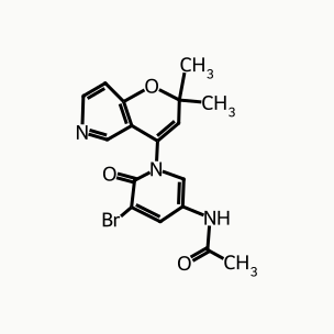 CC(=O)Nc1cc(Br)c(=O)n(C2=CC(C)(C)Oc3ccncc32)c1